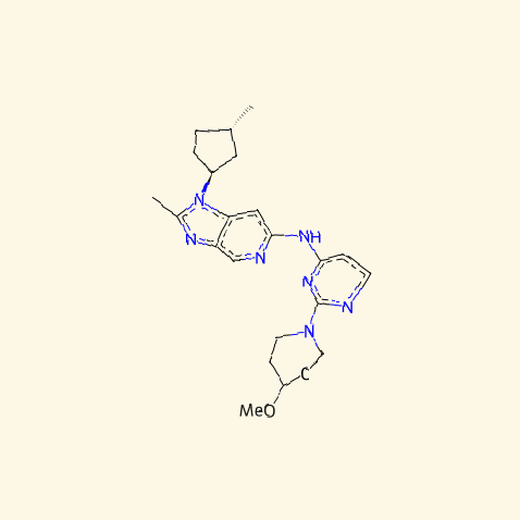 COC1CCN(c2nccc(Nc3cc4c(cn3)nc(C)n4[C@H]3CC[C@H](C)C3)n2)CC1